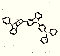 C[C@]12CC(c3ccc4c(c3)c3ccccc3n4-c3ccc(N(c4ccccc4)c4ccccc4)cc3)C1c1c2n(-c2ccccc2)c2ccccc12